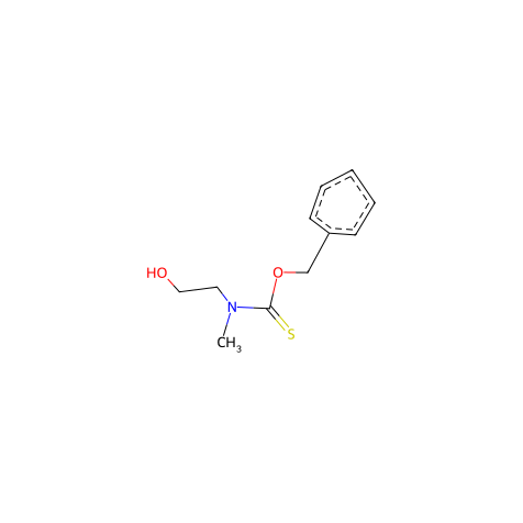 CN(CCO)C(=S)OCc1ccccc1